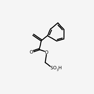 C=C(C(=O)OCS(=O)(=O)O)c1ccccc1